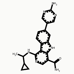 CC(Nc1ncc(C(N)=O)c2[nH]c3cc(-c4cnc(N)nc4)ccc3c12)C1CC1